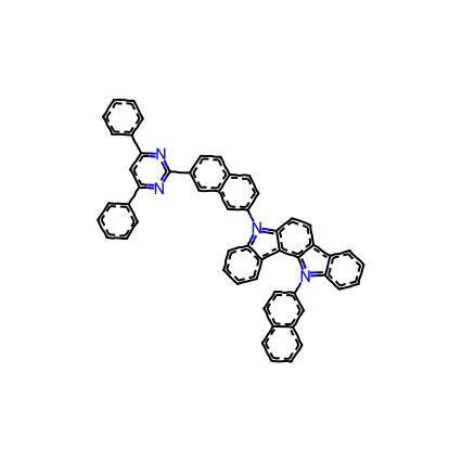 c1ccc(-c2cc(-c3ccccc3)nc(-c3ccc4ccc(-n5c6ccccc6c6c5ccc5c7ccccc7n(-c7ccc8ccccc8c7)c56)cc4c3)n2)cc1